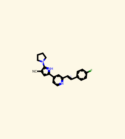 N#Cc1cc(-c2ccnc(/C=C/c3ccc(F)cc3)c2)[nH]c1N1CCCC1